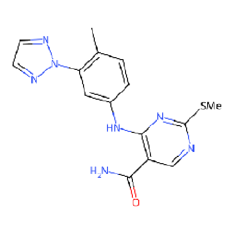 CSc1ncc(C(N)=O)c(Nc2ccc(C)c(-n3nccn3)c2)n1